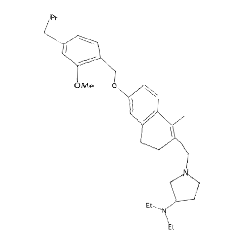 CCN(CC)C1CCN(CC2=C(C)c3ccc(OCc4ccc(CC(C)C)cc4OC)cc3CC2)C1